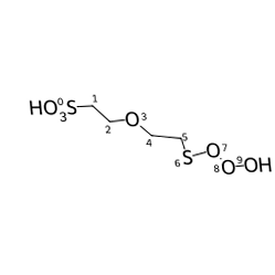 O=S(=O)(O)CCOCCSOOO